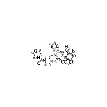 CCOC(=O)C1=C(CN2CCN(C(=O)N3CCOCC3)CC2)NC(c2nccs2)=N[C@H]1c1cccc(F)c1C